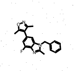 Cc1noc(C)c1-c1cc(F)c2nc(C)n(Cc3ccccc3)c2c1